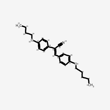 CCCCCOc1ccc(/C=C(\C#N)c2ccc(OCCCC)cc2)cc1